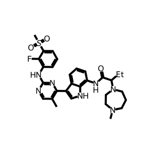 CCC(C(=O)Nc1cccc2c(-c3nc(Nc4cccc(S(C)(=O)=O)c4F)ncc3C)c[nH]c12)N1CCCN(C)CC1